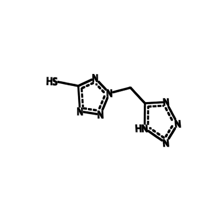 Sc1nnn(Cc2nnn[nH]2)n1